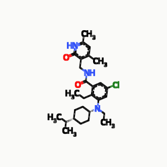 CCc1c(C(=O)NCc2c(C)cc(C)[nH]c2=O)cc(Cl)cc1N(CC)[C@H]1CC[C@@H](C(C)C)CC1